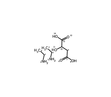 CCN.CCN.O=C(O)CC(O)C(=O)O